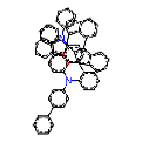 c1ccc(-c2ccc(N(c3ccc4c(c3)C3(c5ccccc5-4)c4ccc5ccccc5c4-c4cccc5cccc3c45)c3ccccc3-c3ccc4c(c3)c3ccccc3n4-c3ccccc3)cc2)cc1